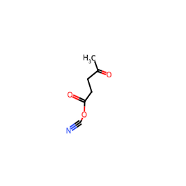 CC(=O)CCC(=O)OC#N